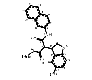 CC(C)(C)OC(=O)C(C(=O)Nc1ccc2ccccc2c1)C1CSc2ccc(Cl)cc21